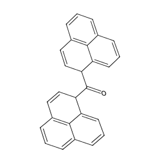 O=C(C1C=Cc2cccc3cccc1c23)C1C=Cc2cccc3cccc1c23